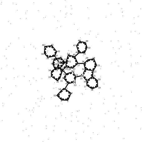 c1ccc(-c2cc(-c3ccccc3)nc(-n3c4ccccc4c4cccc(-c5cc6c7ccccc7n(-c7ccccc7)c6cc5-c5ccccc5)c43)n2)cc1